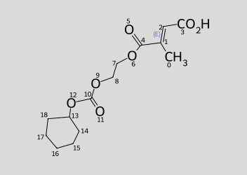 C/C(=C\C(=O)O)C(=O)OCCOC(=O)OC1CCCCC1